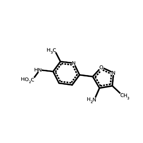 Cc1nc(-c2onc(C)c2N)ccc1NC(=O)O